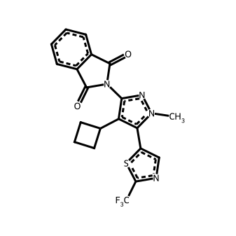 Cn1nc(N2C(=O)c3ccccc3C2=O)c(C2CCC2)c1-c1cnc(C(F)(F)F)s1